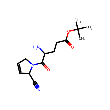 CC(C)(C)OC(=O)CCC(N)C(=O)N1CC=CC1C#N